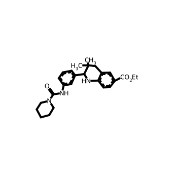 CCOC(=O)c1ccc2c(c1)CC(C)(C)C(c1cccc(NC(=O)N3CCCCC3)c1)N2